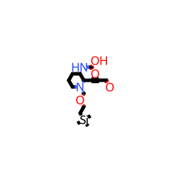 C[Si](C)(C)CCOCN1CCC[C@H](NC(=O)O)C1C#CC=O